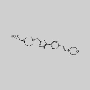 O=C(O)CN1CCCN(CC2CC(c3ccc(C=NN4CCOCC4)cc3)=NO2)CC1